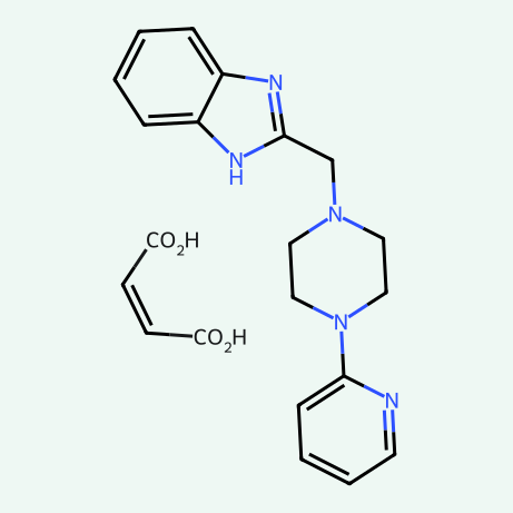 O=C(O)/C=C\C(=O)O.c1ccc(N2CCN(Cc3nc4ccccc4[nH]3)CC2)nc1